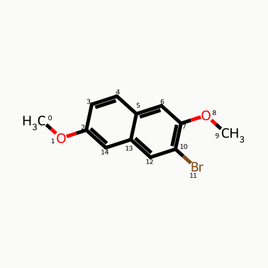 COc1ccc2cc(OC)c(Br)cc2c1